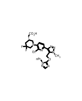 CCCn1ncnc1OCc1c(-c2ccc(N3C[C@@H](CC(=O)O)CC(F)(F)C3)c(CC)n2)nnn1C